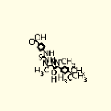 CCn1nc(C(C)=NNC(=S)Nc2ccc(C(=O)O)cc2)c(O)c1-c1ccc(C(C)(C)C)cc1